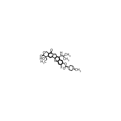 CC[C@@]1(O)C(=O)OCc2c1cc1n(c2=O)Cc2c-1nc1cc(F)c(OC(=O)N3CCN(C)CC3)cc1c2NC(C)C